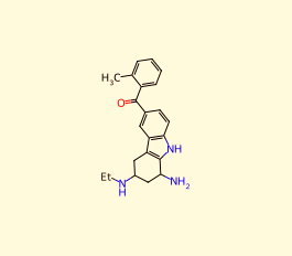 CCNC1Cc2c([nH]c3ccc(C(=O)c4ccccc4C)cc23)C(N)C1